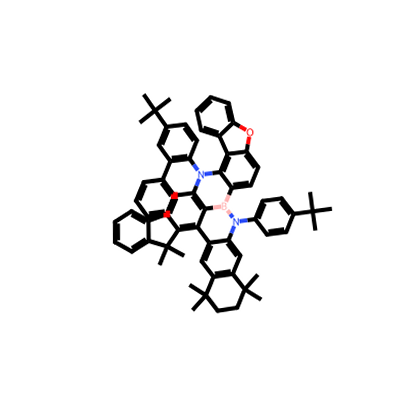 CC(C)(C)c1ccc(N2B3c4ccc5oc6ccccc6c5c4N(c4ccc(C(C)(C)C)cc4-c4ccccc4)c4cc5c(c(c43)-c3cc4c(cc32)C(C)(C)CCC4(C)C)C(C)(C)c2ccccc2-5)cc1